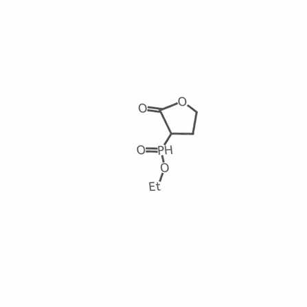 CCO[PH](=O)C1CCOC1=O